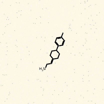 Cc1ccc(C2CCC(=CC[SiH3])CC2)cc1